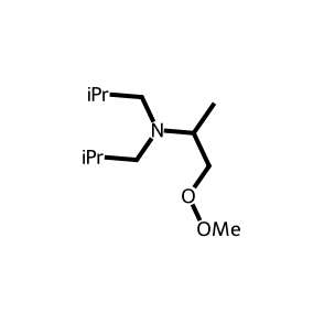 COOCC(C)N(CC(C)C)CC(C)C